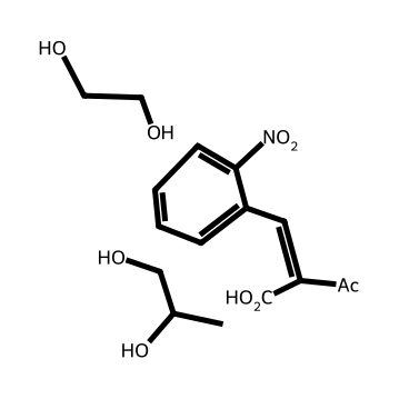 CC(=O)C(=Cc1ccccc1[N+](=O)[O-])C(=O)O.CC(O)CO.OCCO